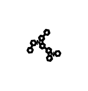 C1=CCC(c2ccc3c(c2)c2cc(-c4ccc5c(c4)c4c(n5C5CCCCC5)C=CCC4)ccc2n3C2CCC=C(C3=CCCCC3)C2)C=C1